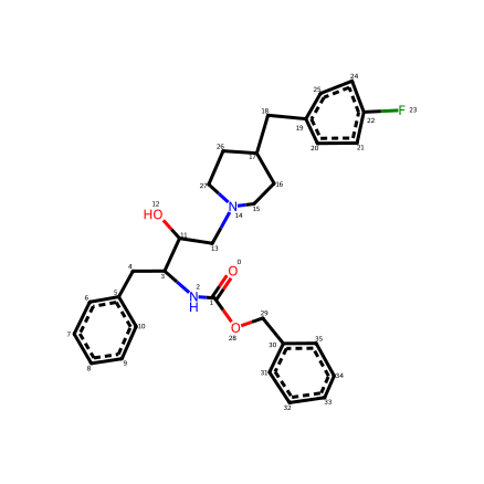 O=C(NC(Cc1ccccc1)C(O)CN1CCC(Cc2ccc(F)cc2)CC1)OCc1ccccc1